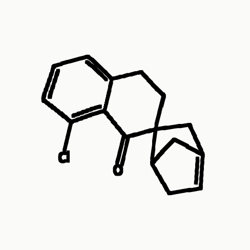 O=C1c2c(Cl)cccc2CCC12CC1=CCC2C1